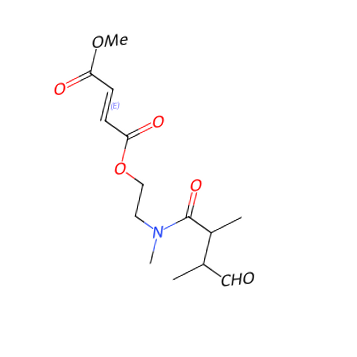 COC(=O)/C=C/C(=O)OCCN(C)C(=O)C(C)C(C)C=O